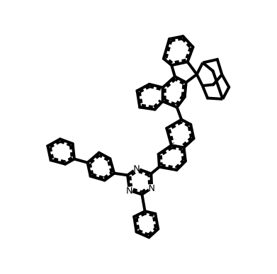 c1ccc(-c2ccc(-c3nc(-c4ccccc4)nc(-c4ccc5ccc(-c6cc7c(c8ccccc68)-c6ccccc6C76C7CC8CC(C7)CC6C8)cc5c4)n3)cc2)cc1